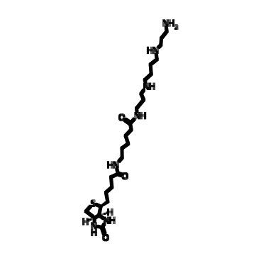 NCCCNCCCCNCCCNC(=O)CCCCCNC(=O)CCCC[C@@H]1SC[C@@H]2NC(=O)N[C@@H]21